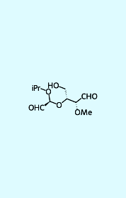 CO[C@@H](C=O)[C@@H](CO)O[C@@H](C=O)OC(C)C